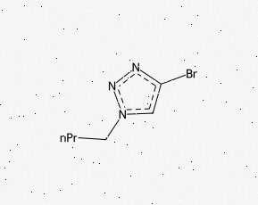 CCCCn1cc(Br)nn1